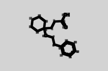 O=C(O)CCC1(OCCc2ccccc2)CCCCC1